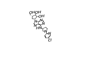 OC[C@H]1C[C@@H](n2cnc3c(N[C@H]4CCN(c5ccc(Cl)cn5)C4)ncnc32)[C@H](O)[C@@H]1O